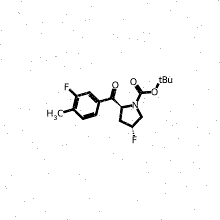 Cc1ccc(C(=O)[C@@H]2C[C@@H](F)CN2C(=O)OC(C)(C)C)cc1F